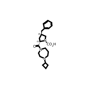 O=C([C@@H]1C[C@@H](Cc2ccccc2)CN1C(=O)O)N1CCCN(C2CCC2)CC1